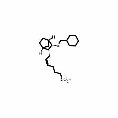 O=C(O)CCC/C=C\C[C@@H]1[C@@H]2CC[C@@H](C2)[C@H]1SCC1CCCCC1